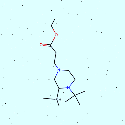 CCOC(=O)CCN1CCN(C(C)(C)C)C([SiH](C)C)C1